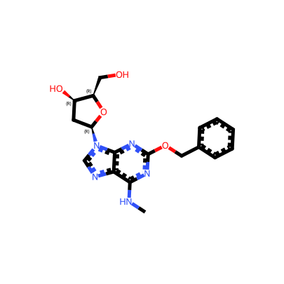 CNc1nc(OCc2ccccc2)nc2c1ncn2[C@H]1C[C@@H](O)[C@@H](CO)O1